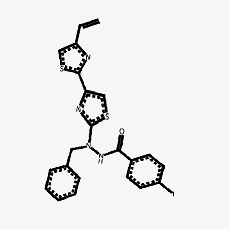 C=Cc1csc(-c2csc(N(Cc3ccccc3)NC(=O)c3ccc(I)cc3)n2)n1